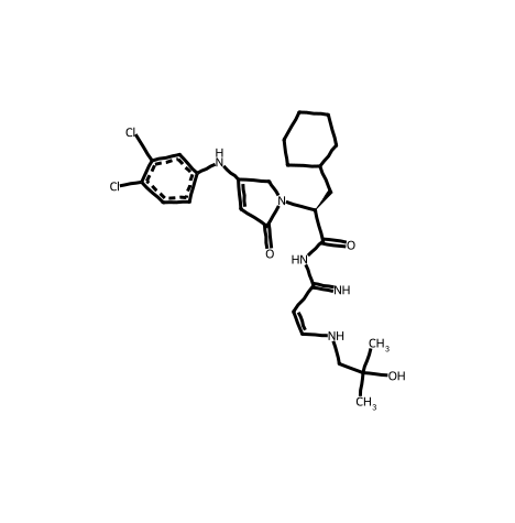 CC(C)(O)CN/C=C\C(=N)NC(=O)[C@H](CC1CCCCC1)N1CC(Nc2ccc(Cl)c(Cl)c2)=CC1=O